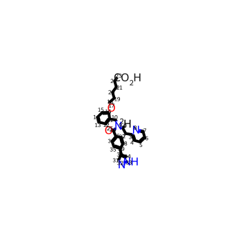 [2H]C(Cc1ccccn1)N(Cc1ccccc1OCCCCCC(=O)O)C(=O)c1ccc(-c2cn[nH]c2)cc1